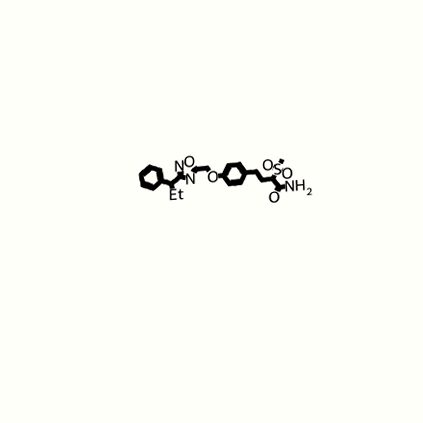 CCC(c1ccccc1)c1noc(COc2ccc(CCC(C(N)=O)S(C)(=O)=O)cc2)n1